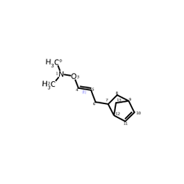 CN(C)O/C=C/CC1CC2C=CC1C2